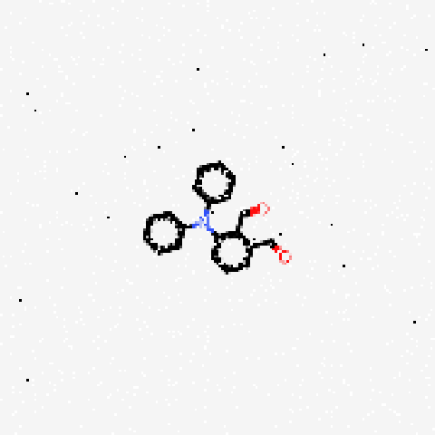 O=Cc1cccc(N(c2ccccc2)c2ccccc2)c1C=O